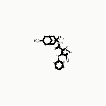 CC1CC2CC(C1)CC(C)(NC(=O)c1onc(Cl)c1Sc1ccccc1)C2